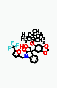 CC(C)(C)[Si](C)(C)Oc1cc2c(cc1C1(CO)C(=O)N(Cc3ccc(C(F)(F)F)o3)c3ccccc31)OCO2